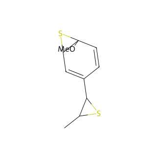 COC12C=CC(C3SC3C)=CC1S2